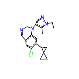 CCn1ncc(N2CN=Cc3cc(Cl)c(C4CC45CC5)cc32)c1C